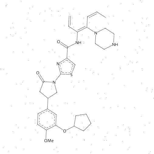 C=C/C(NC(=O)c1csc(N2CC(c3ccc(OC)c(OC4CCCC4)c3)CC2=O)n1)=C(\C=C/C)N1CCNCC1